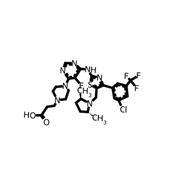 C[C@@H]1CC[C@@H](C)N1Cc1sc(Nc2ncnc(N3CCN(CCC(=O)O)CC3)c2F)nc1-c1cc(Cl)cc(C(F)(F)F)c1